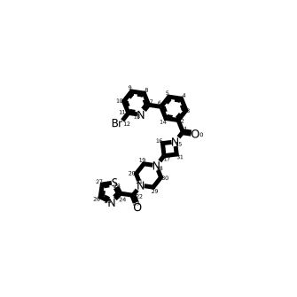 O=C(c1cccc(-c2cccc(Br)n2)c1)N1CC(N2CCN(C(=O)c3nccs3)CC2)C1